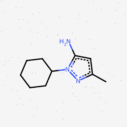 Cc1cc(N)n(C2CCCCC2)n1